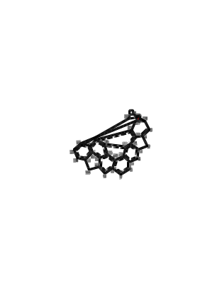 C1=C2Cc3cc4ccc5cc6c7c8c(cc9c%10c8c8c(c2c3c2c4c5c7c82)C%102OC12C1OC91)C6